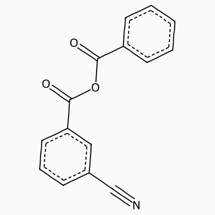 N#Cc1cccc(C(=O)OC(=O)c2ccccc2)c1